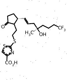 C[C@](O)(C/C=C/[C@H]1CCC(=O)C1CCSc1nc(C(=O)O)cs1)CCCC(F)(F)F